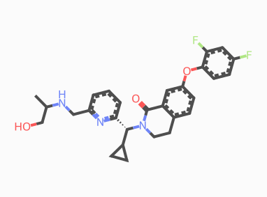 CC(CO)NCc1cccc([C@@H](C2CC2)N2CCc3ccc(Oc4ccc(F)cc4F)cc3C2=O)n1